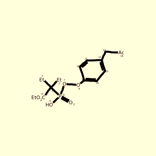 CCOC(=O)C(CC)(CC)P(=O)(O)OOc1ccc(CC(C)=O)cc1